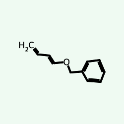 C=CC=COCc1ccccc1